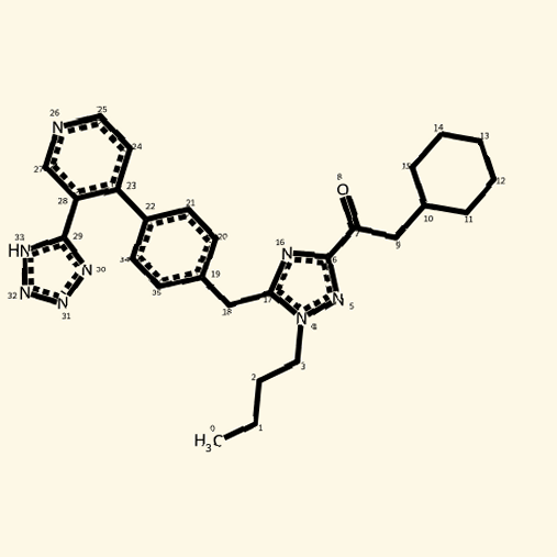 CCCCn1nc(C(=O)CC2CCCCC2)nc1Cc1ccc(-c2ccncc2-c2nnn[nH]2)cc1